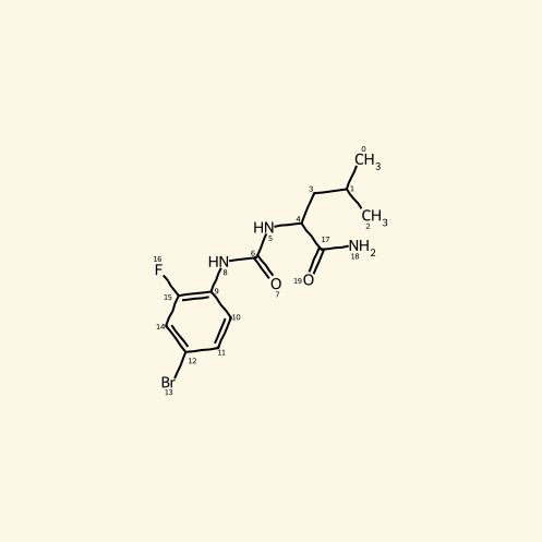 CC(C)CC(NC(=O)Nc1ccc(Br)cc1F)C(N)=O